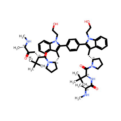 CN[C@@H](C)C(=O)C[C@H](C(=O)N1CCC[C@H]1Cc1c(-c2ccc(-c3c(C[C@@H]4CCCN4C(=O)[C@@H](NC(=O)[C@H](C)NC)C(C)(C)C)c4ccccc4n3CCO)cc2)n(CCO)c2ccccc12)C(C)(C)C